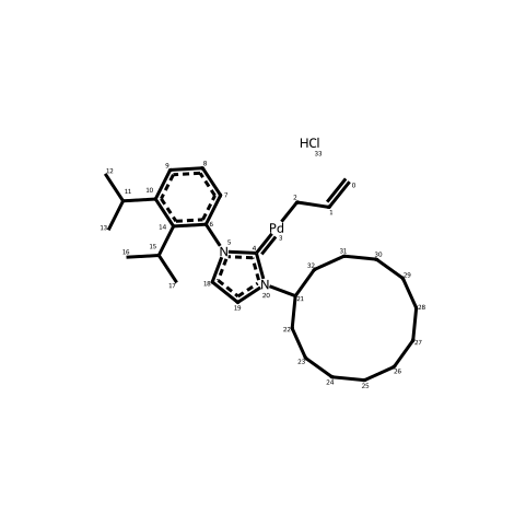 C=C[CH2]/[Pd]=[c]1\n(-c2cccc(C(C)C)c2C(C)C)ccn1C1CCCCCCCCCCC1.Cl